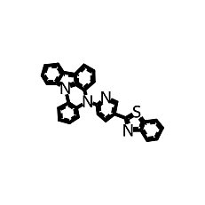 c1ccc2c(c1)N(c1ccc(-c3nc4ccccc4s3)cn1)c1cccc3c4ccccc4n-2c13